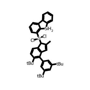 CC1=Cc2c(ccc(C(C)(C)C)c2-c2cc(C(C)(C)C)cc(C(C)(C)C)c2)[CH]1[Zr]([Cl])([Cl])[c]1cccc2c1[SiH2]c1ccccc1-2